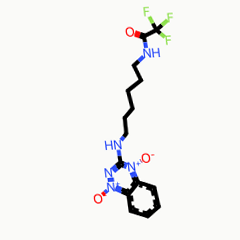 O=C(NCCCCCCNc1n[n+]([O-])c2ccccc2[n+]1[O-])C(F)(F)F